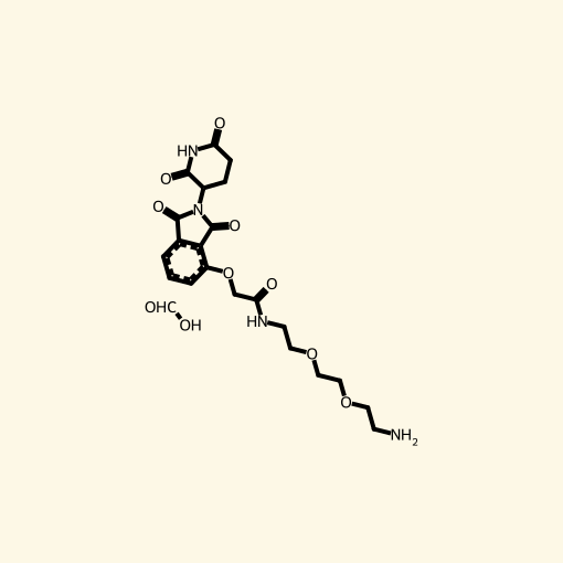 NCCOCCOCCNC(=O)COc1cccc2c1C(=O)N(C1CCC(=O)NC1=O)C2=O.O=CO